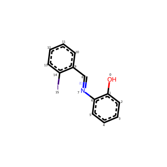 Oc1ccccc1/N=C/c1ccccc1I